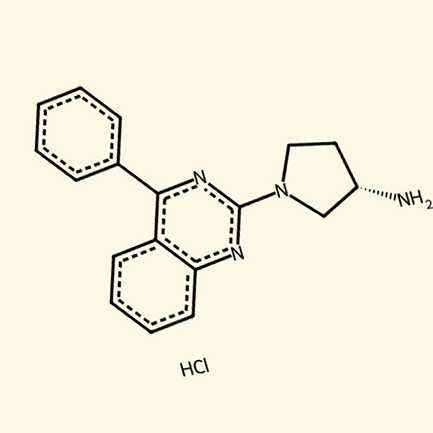 Cl.N[C@H]1CCN(c2nc(-c3ccccc3)c3ccccc3n2)C1